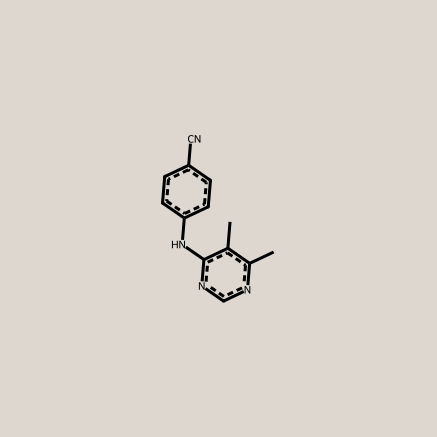 Cc1ncnc(Nc2ccc(C#N)cc2)c1C